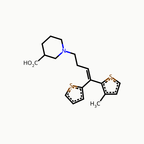 Cc1ccsc1C(=CCCN1CCCC(C(=O)O)C1)c1cccs1